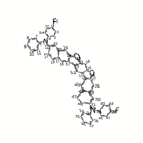 Fc1ccc(N(c2ccccc2)c2ccc3cc4c(cc3c2)oc2cc3oc5cc6cc(N(c7ccccc7)c7ccc(F)cc7)ccc6cc5c3cc24)cc1